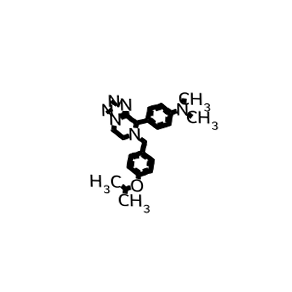 CC(C)Oc1ccc(CN2CCn3nnnc3C2c2ccc(N(C)C)cc2)cc1